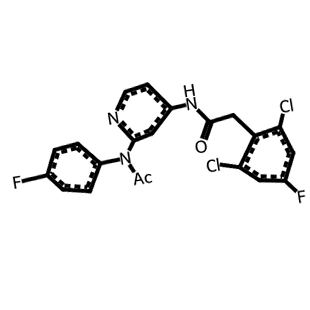 CC(=O)N(c1ccc(F)cc1)c1cc(NC(=O)Cc2c(Cl)cc(F)cc2Cl)ccn1